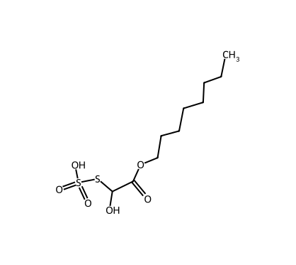 CCCCCCCCOC(=O)C(O)SS(=O)(=O)O